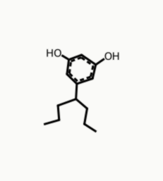 CCCC(CCC)c1cc(O)cc(O)c1